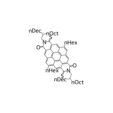 CCCCCCCCCCC(CCCCCCCC)Cn1c(=O)c2cc3cc(CCCCCC)c4cc5c(=S)n(CC(CCCCCCCC)CCCCCCCCCC)c(=O)c6cc7cc(CCCCCC)c8cc(c1=S)c2c1c3c4c(c65)c7c81